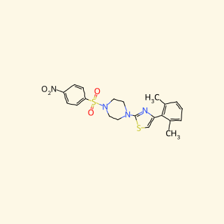 Cc1cccc(C)c1-c1csc(N2CCN(S(=O)(=O)c3ccc([N+](=O)[O-])cc3)CC2)n1